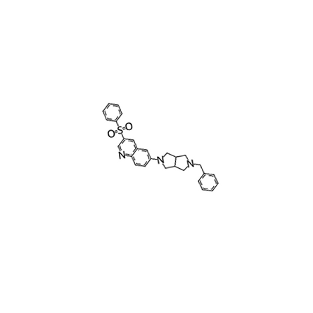 O=S(=O)(c1ccccc1)c1cnc2ccc(N3CC4CN(Cc5ccccc5)CC4C3)cc2c1